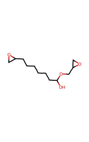 OC(CCCCCCC1CO1)OCC1CO1